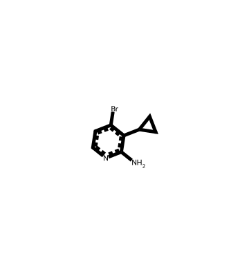 Nc1nccc(Br)c1C1CC1